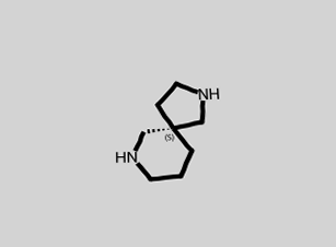 C1CNC[C@]2(C1)CCNC2